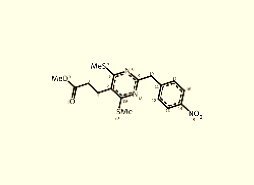 COC(=O)CCc1c(SC)nc(Cc2ccc([N+](=O)[O-])cc2)nc1SC